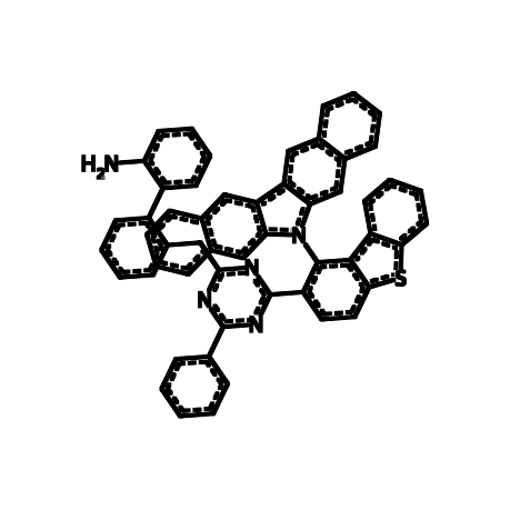 Nc1ccccc1-c1ccccc1Cc1nc(-c2ccccc2)nc(-c2ccc3sc4ccccc4c3c2-n2c3cc4ccccc4cc3c3cc4ccccc4cc32)n1